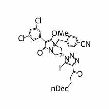 CCCCCCCCCCCCC(=O)c1nnn([C@@H]2CN3C(=O)C(c4cc(Cl)cc(Cl)c4)=C(OC)[C@]3(Cc3ccc(C#N)cc3)C2)c1I